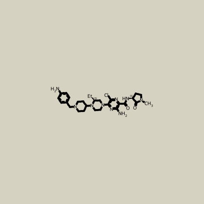 CC[C@H]1CN(c2nc(N)c(C(=O)N[C@H]3CCN(C)C3=O)nc2Cl)CCN1C1CCN(Cc2ccc(N)cc2)CC1